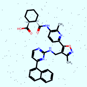 Cc1nc(-c2onc(C)c2CNc2nccc(-c3cccc4ccccc34)n2)ccc1NC(=O)[C@H]1CCCC[C@@H]1C(=O)O